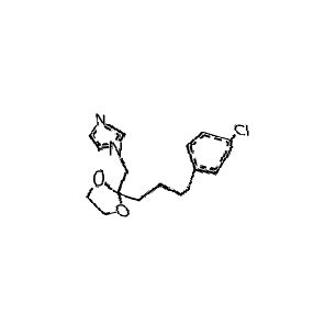 Clc1ccc(CCCC2(Cn3ccnc3)OCCO2)cc1